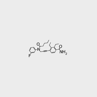 CCCCC(=O)N(CC#Cc1ccc(C(N)=O)c(CC)c1CC)c1cccc(F)c1